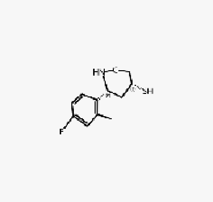 Cc1cc(F)ccc1[C@H]1C[C@@H](S)CCN1